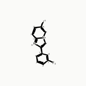 Fc1cccc(-c2cn3cc(I)ccc3n2)c1